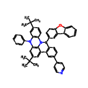 CC(C)(C)c1ccc2c(c1)N(c1ccccc1)c1cc(C(C)(C)C)cc3c1N2B(c1ccc2oc4ccccc4c2c1)c1ccc(-c2ccncc2)cc1-3